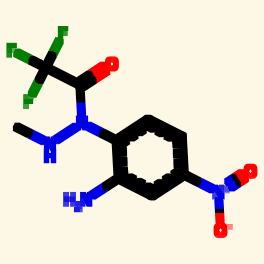 CNN(C(=O)C(F)(F)F)c1ccc([N+](=O)[O-])cc1N